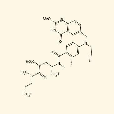 C#CCN(Cc1ccc2nc(OC)[nH]c(=O)c2c1)c1ccc(C(=O)N(C)[C@@H](CC(C(=O)O)C(=O)[C@@H](N)CCC(=O)O)C(=O)O)c(F)c1